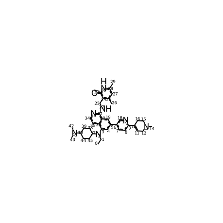 CCN(c1cc(-c2ccc(C3=CCN(C)CC3)nc2)cc2c(NCc3c(C)cc(C)[nH]c3=O)nccc12)C1CCC(N(C)C)CC1